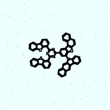 c1ccc2cc3c(cc2c1)c1ccccc1n3-c1cc(-c2nc(-c3cccc4c3oc3ccccc34)nc(-c3cccc4c3sc3ccccc34)n2)cc2c1oc1ccc3ccccc3c12